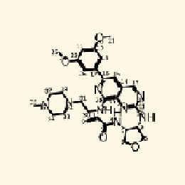 C=CC(=O)N[C@H]1COC[C@H]1Nc1ncc2cc(-c3cc(OC)cc(OC)c3)nc(NCCN3CCN(C)CC3)c2n1